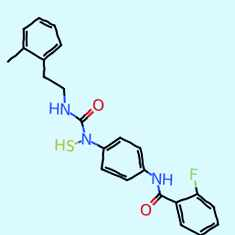 Cc1ccccc1CCNC(=O)N(S)c1ccc(NC(=O)c2ccccc2F)cc1